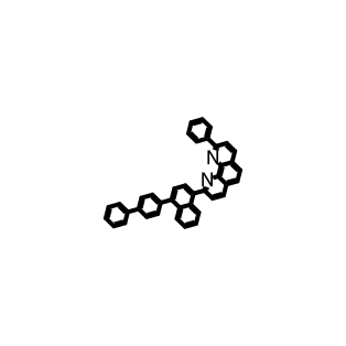 c1ccc(-c2ccc(-c3ccc(-c4ccc5ccc6ccc(-c7ccccc7)nc6c5n4)c4ccccc34)cc2)cc1